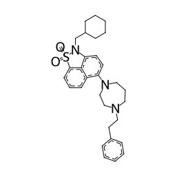 O=S1(=O)c2cccc3c(N4CCCN(CCc5ccccc5)CC4)ccc(c23)N1CC1CCCCC1